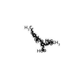 CCCCOc1ccc(-c2nc(CCOc3ccc(CCC(=O)O)c(CNCC(=O)OC(C)C)c3)c(C)o2)cc1